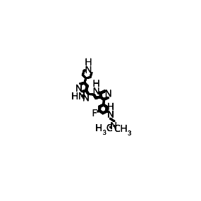 CN(C)CCNc1cc(F)cc(-c2cncc3[nH]c(-c4n[nH]c5ncc(C6CCNCC6)cc45)cc23)c1